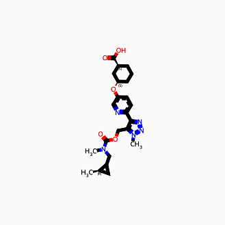 C[C@@H]1CC1CN(C)C(=O)OCc1c(-c2ccc(O[C@H]3CCC[C@H](C(=O)O)C3)cn2)nnn1C